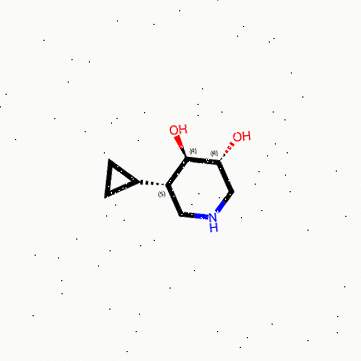 O[C@H]1[C@H](O)CNC[C@@H]1C1CC1